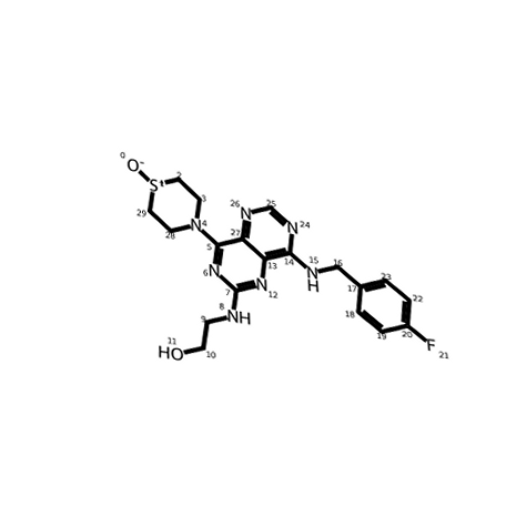 [O-][S+]1CCN(c2nc(NCCO)nc3c(NCc4ccc(F)cc4)ncnc23)CC1